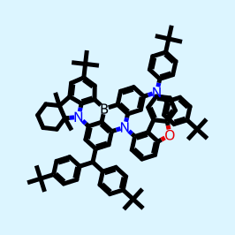 CC(C)(C)c1ccc(C(c2ccc(C(C)(C)C)cc2)c2cc3c4c(c2)N2c5c(cc(C(C)(C)C)cc5C5(C)CCCCC25C)B4c2ccc(N(c4ccc(C(C)(C)C)cc4)c4ccc(C(C)(C)C)cc4)cc2N3c2cccc3oc4ccccc4c23)cc1